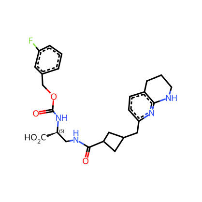 O=C(N[C@@H](CNC(=O)C1CC(Cc2ccc3c(n2)NCCC3)C1)C(=O)O)OCc1cccc(F)c1